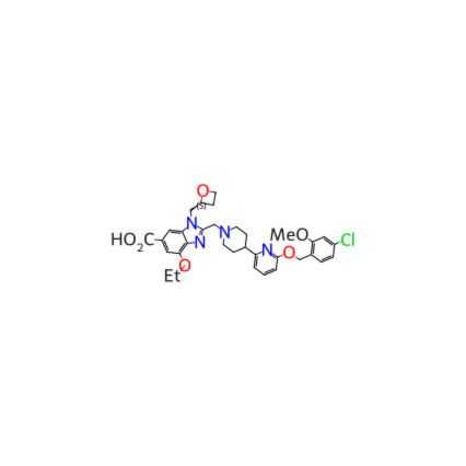 CCOc1cc(C(=O)O)cc2c1nc(CN1CCC(c3cccc(OCc4ccc(Cl)cc4OC)n3)CC1)n2C[C@@H]1CCO1